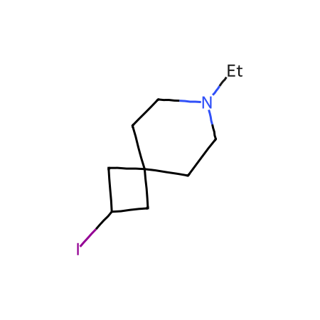 CCN1CCC2(CC1)CC(I)C2